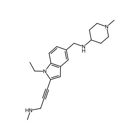 CCn1c(C#CCNC)cc2cc(CNC3CCN(C)CC3)ccc21